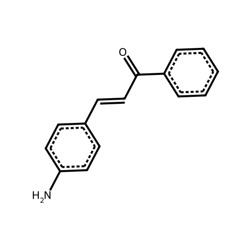 Nc1ccc(C=CC(=O)c2ccccc2)cc1